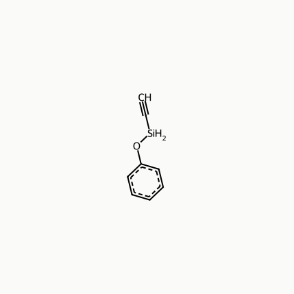 C#C[SiH2]Oc1ccccc1